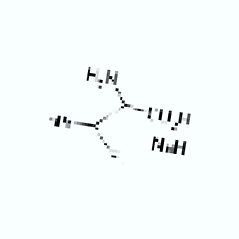 CCCC(CC)C(N)C(=O)O.[NaH]